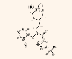 O=C(c1cc(C(F)(F)F)n[nH]1)N(CCC1CCS(O)(O)CC1)Cc1ccccc1Cl